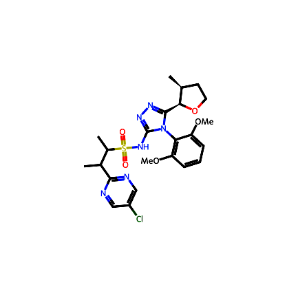 COc1cccc(OC)c1-n1c(NS(=O)(=O)C(C)C(C)c2ncc(Cl)cn2)nnc1[C@@H]1OCC[C@@H]1C